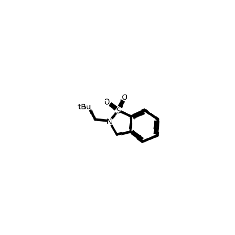 CC(C)(C)CN1Cc2ccccc2S1(=O)=O